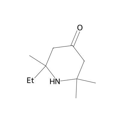 CCC1(C)CC(=O)CC(C)(C)N1